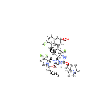 C#Cc1c(F)ccc2cc(O)cc(-c3c(C#N)cc4c(N(C)C[C@H]5N(C(=O)C=C)CCC5(F)F)nc(OCC56CCCN5CCC6)nc4c3F)c12